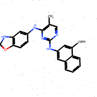 COc1cc(Nc2ncc(C)c(Nc3ccc4c(c3)NCO4)n2)cc2ccccc12